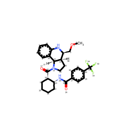 COC[C@@H]1Nc2ccccc2[C@H]2[C@@H]1CCN2C(=O)[C@H]1CCCC[C@H]1NC(=O)c1ccc(C(F)(F)F)cc1